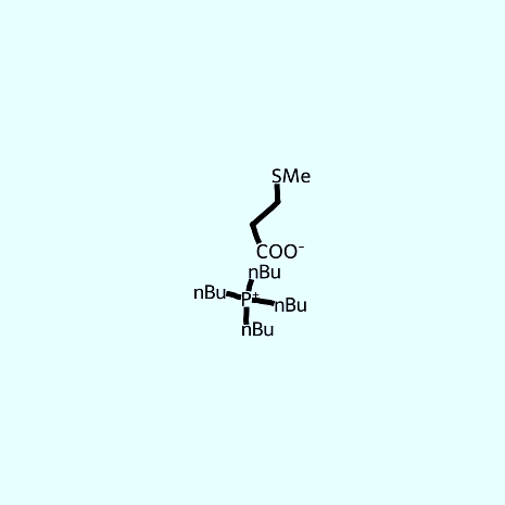 CCCC[P+](CCCC)(CCCC)CCCC.CSCCC(=O)[O-]